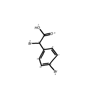 O=C(O)C(Br)c1ccc(Br)cc1